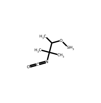 CC(O[SiH3])C(C)(C)N=C=O